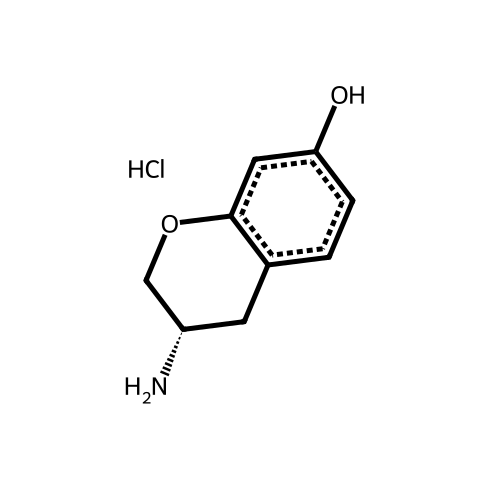 Cl.N[C@@H]1COc2cc(O)ccc2C1